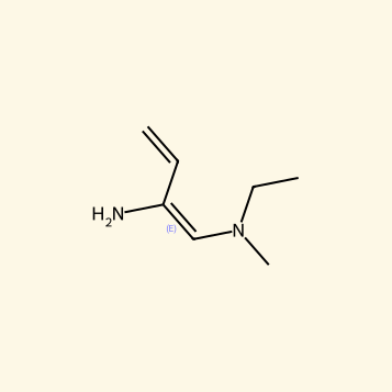 C=C/C(N)=C\N(C)CC